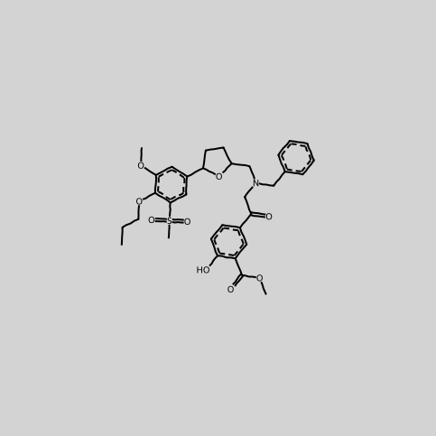 CCCOc1c(OC)cc(C2CCC(CN(CC(=O)c3ccc(O)c(C(=O)OC)c3)Cc3ccccc3)O2)cc1S(C)(=O)=O